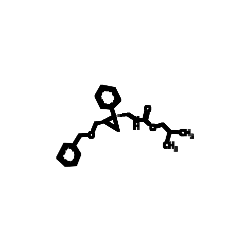 CC(C)COC(=O)NC[C@]1(c2ccccc2)C[C@H]1COCc1ccccc1